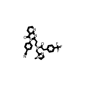 Cn1ccnc1CN(CCc1nc2ncccc2c(=O)n1-c1ccc(C#N)cc1)C(=O)Cc1ccc(C(F)(F)F)cc1